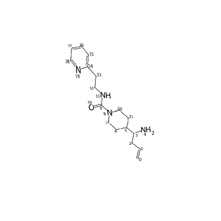 C=CCC(N)C1CCN(C(=O)NCCc2ccccn2)CC1